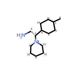 CC1CCC([C@@H](CN)N2CCCCC2)CC1